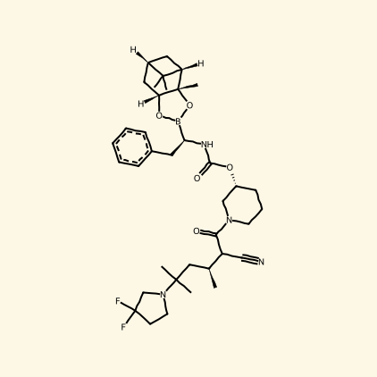 C[C@@H](CC(C)(C)N1CCC(F)(F)C1)C(C#N)C(=O)N1CCC[C@@H](OC(=O)N[C@@H](Cc2ccccc2)B2O[C@@H]3C[C@@H]4C[C@@H](C4(C)C)[C@]3(C)O2)C1